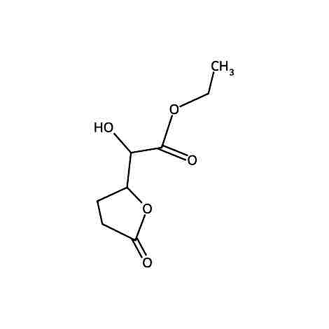 CCOC(=O)C(O)C1CCC(=O)O1